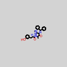 CC(NC(=O)CCc1cccc(O)c1)C(=O)C1N=C(c2ccccc2)c2ccccc2N(C)[C@@H]1N